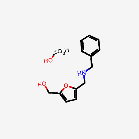 O=S(=O)(O)O.OCc1ccc(CNCc2ccccc2)o1